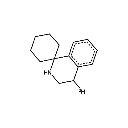 [2H]C1CNC2(CCCCC2)c2ccccc21